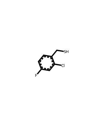 Fc1ccc(CS)c(Cl)c1